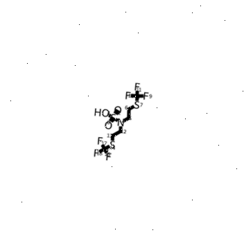 O=S(=O)(O)N(CCSC(F)(F)F)CCSC(F)(F)F